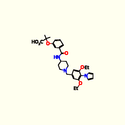 CCOc1cc(CN2CCC(NC(=O)c3cccc(OC(C)(C)C(=O)O)c3)CC2)cc(OCC)c1-n1cccc1